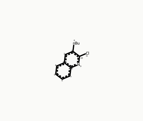 CCCCc1cc2ccccc2nc1Cl